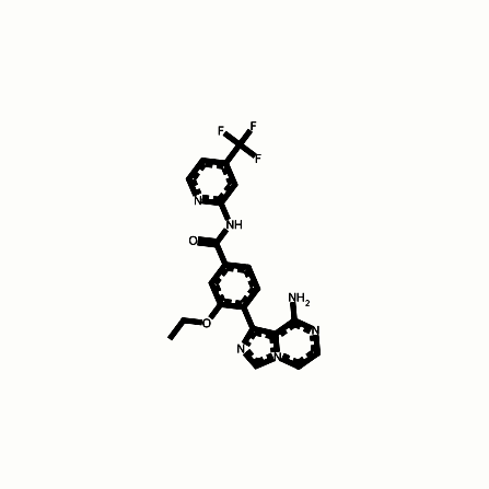 CCOc1cc(C(=O)Nc2cc(C(F)(F)F)ccn2)ccc1-c1ncn2ccnc(N)c12